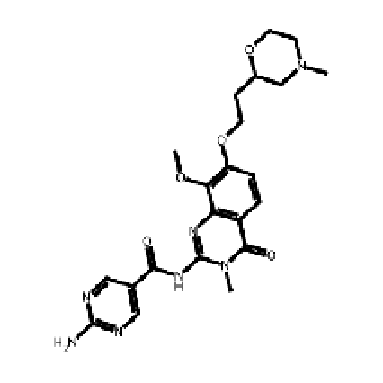 COc1c(OCCC2CN(C)CCO2)ccc2c(=O)n(C)c(NC(=O)c3cnc(N)nc3)nc12